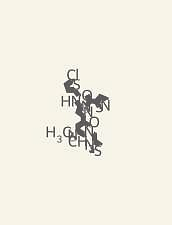 CN(C)c1cc(-c2cc(NCc3ccc(Cl)s3)n(C(=O)c3ccns3)n2)c(=O)n(Cc2cscn2)c1